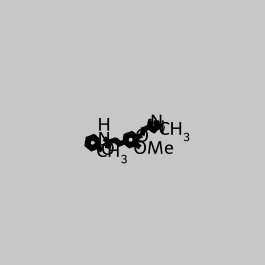 COc1cc(/C=C/C(=O)Nc2ccccc2C)ccc1OCc1cnn(C)c1